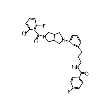 O=C(NCCCc1cccc(N2CC3CN(C(=O)c4c(F)cccc4Cl)CC3C2)c1)c1ccc(F)cc1